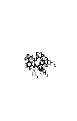 COc1c(=O)n(C2(C(F)F)CC2)cc2c(N[C@H](C)c3cccc(C(C)(F)F)c3)nc(C)nc12